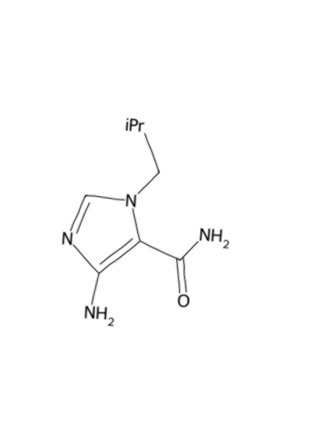 CC(C)Cn1cnc(N)c1C(N)=O